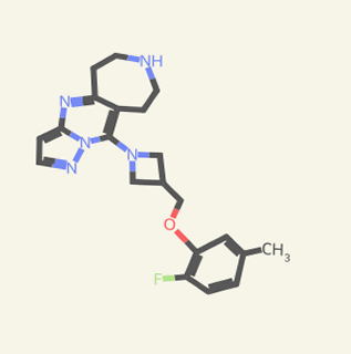 Cc1ccc(F)c(OCC2CN(c3c4c(nc5ccnn35)CCNCC4)C2)c1